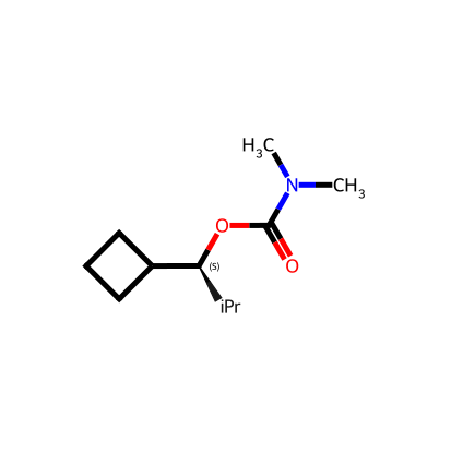 CC(C)[C@H](OC(=O)N(C)C)C1CCC1